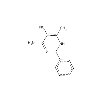 CC(NCc1ccccc1)=C(C#N)C(N)=S